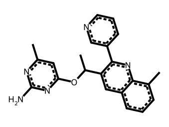 Cc1cc(OC(C)c2cc3cccc(C)c3nc2-c2cccnc2)nc(N)n1